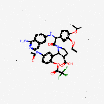 CCOc1cc(C(Nc2ccc3c(N)nccc3c2)C(=O)N2CCC(C(=O)O)C2c2cc(NC(C)=O)ccc2OC(=O)C(F)(F)F)ccc1OC(C)C